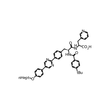 CCCCCCCOc1ccc(-c2cnc(-c3ccc(C[C@H](NC(=O)c4ccc(C(C)(C)C)cc4)C(=O)NC(Cc4cccnc4)C(=O)O)cc3)nc2)cc1